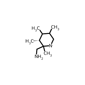 CC1C[N]C(C)(CN)[C@H](C)C1C